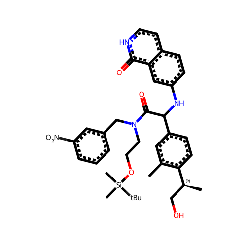 Cc1cc(C(Nc2ccc3cc[nH]c(=O)c3c2)C(=O)N(CCO[Si](C)(C)C(C)(C)C)Cc2cccc([N+](=O)[O-])c2)ccc1[C@@H](C)CO